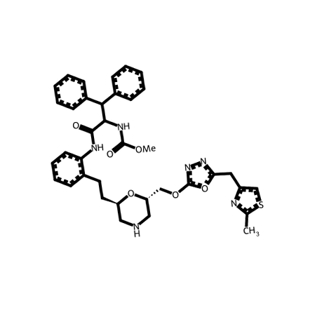 COC(=O)NC(C(=O)Nc1ccccc1CC[C@@H]1CNC[C@@H](COc2nnc(Cc3csc(C)n3)o2)O1)C(c1ccccc1)c1ccccc1